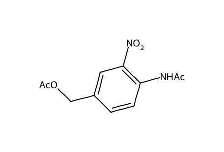 CC(=O)Nc1ccc(COC(C)=O)cc1[N+](=O)[O-]